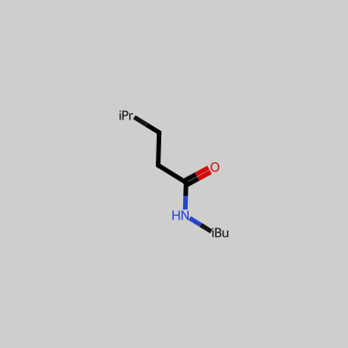 CCC(C)NC(=O)CCC(C)C